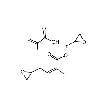 C=C(C)C(=O)O.CC(=CCC1CO1)C(=O)OCC1CO1